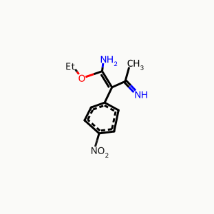 CCO/C(N)=C(/C(C)=N)c1ccc([N+](=O)[O-])cc1